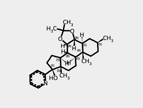 C[C@H]1CC[C@@]2(C)[C@H](C1)[C@H]1OC(C)(C)O[C@@H]1[C@@H]1[C@@H]2CC[C@@]2(C)[C@H]1CC[C@@]2(O)c1ccccn1